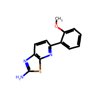 COc1ccccc1-c1ccc2nc(N)sc2n1